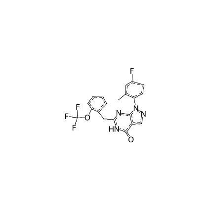 Cc1cc(F)ccc1-n1ncc2c(=O)[nH]c(Cc3ccccc3OC(F)(F)F)nc21